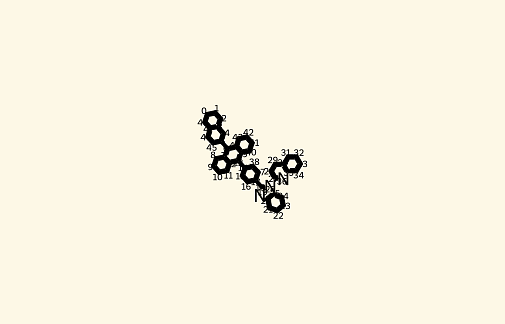 c1ccc2cc(-c3c4ccccc4c(-c4ccc(-c5nc6ccccc6n5-c5ccc6ccccc6n5)cc4)c4ccccc34)ccc2c1